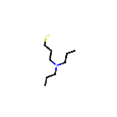 CCCN(CCC)CCCS